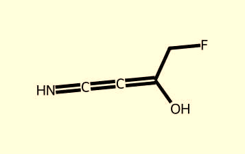 N=C=C=C(O)CF